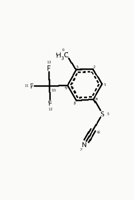 Cc1ccc(SC#N)cc1C(F)(F)F